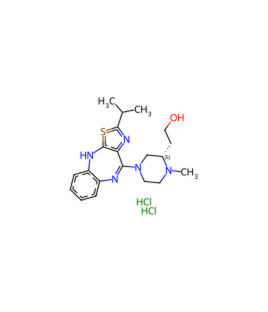 CC(C)c1nc2c(s1)Nc1ccccc1N=C2N1CCN(C)[C@@H](CCO)C1.Cl.Cl